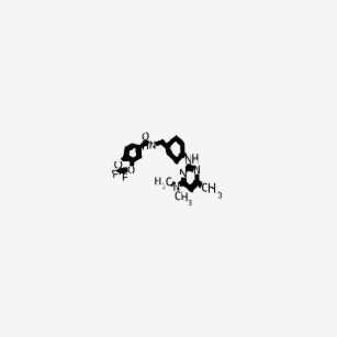 Cc1cc(N(C)C)nc(NC2CCC(CNC(=O)c3ccc4c(c3)OC(F)(F)O4)CC2)n1